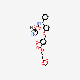 COc1cc(COc2cccc(C(NC(=O)O[C@H]3CN4CCC3CC4)c3ccccc3)c2)ccc1C(=O)OCCCC1OCCO1